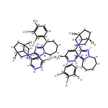 Cc1cc(N2C[C@H]3CC[C@@H](C2)C3Nc2nc3n(n2)CCCC[C@@H]3c2ccc(F)c(F)c2F)cnn1.Fc1ccc([C@H]2CCCCn3nc(NC4[C@@H]5CC[C@H]4CN(c4cnnc(Cl)c4)C5)nc32)c(F)c1F